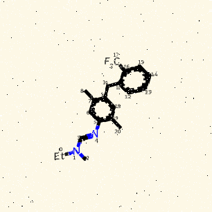 CCN(C)C=Nc1cc(C)c(Cc2ccccc2C(F)(F)F)cc1C